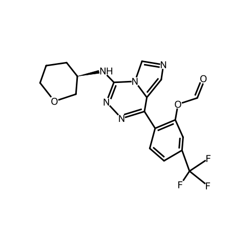 O=COc1cc(C(F)(F)F)ccc1-c1nnc(N[C@@H]2CCCOC2)n2cncc12